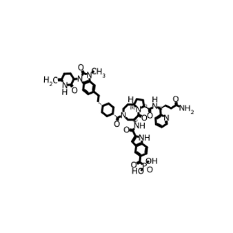 C=C1CCC(n2c(=O)n(C)c3cc(CC[C@H]4CC[C@@H](C(=O)N5CC[C@H]6CC[C@@H](C(=O)N[C@@H](CCC(N)=O)c7ccccn7)N6C(=O)[C@@H](NC(=O)c6cc7cc(C(=O)P(=O)(O)O)ccc7[nH]6)C5)CC4)ccc32)C(=O)N1